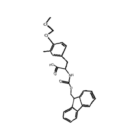 COCOc1ccc(CC(NC(=O)OCC2c3ccccc3-c3ccccc32)C(=O)O)cc1C